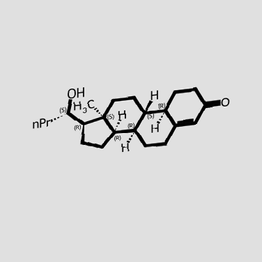 CCC[C@H](O)[C@@H]1CC[C@@H]2[C@@H]3CCC4=CC(=O)CC[C@@H]4[C@H]3CC[C@@]21C